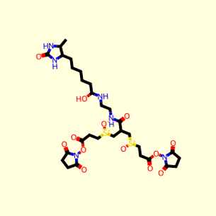 CC1NC(=O)NC1CCCCCC(O)NCCNC(=O)C(C[S+]([O-])CCC(=O)ON1C(=O)CCC1=O)C[S+]([O-])CCC(=O)ON1C(=O)CCC1=O